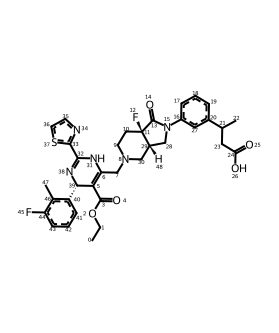 CCOC(=O)C1=C(CN2CC[C@]3(F)C(=O)N(c4cccc(C(C)CC(=O)O)c4)C[C@@H]3C2)NC(c2nccs2)=N[C@H]1c1cccc(F)c1C